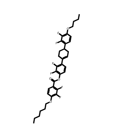 CCCCCCOc1ccc(C(=O)Oc2ccc(C3=CCC(c4ccc(OCCCC)c(F)c4F)CC3)c(F)c2F)c(F)c1F